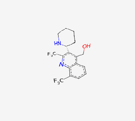 OCc1c([C@H]2CCCCN2)c(C(F)(F)F)nc2c(C(F)(F)F)cccc12